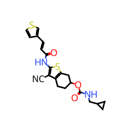 N#Cc1c(NC(=O)C=Cc2ccsc2)sc2c1CCC(OC(=O)NCC1CC1)C2